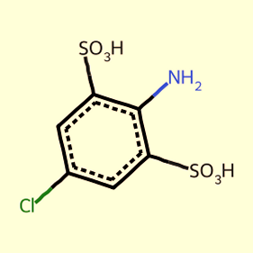 Nc1c(S(=O)(=O)O)cc(Cl)cc1S(=O)(=O)O